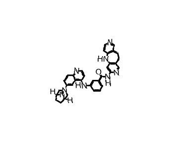 CN1[C@@H]2CC[C@H]1CN(c1ccc3nccc(Nc4cccc(C(=O)Nc5cc6c(cn5)CCc5cnccc5N6)c4)c3c1)C2